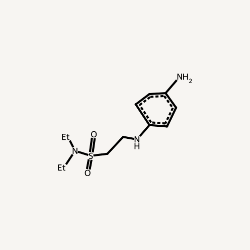 CCN(CC)S(=O)(=O)CCNc1ccc(N)cc1